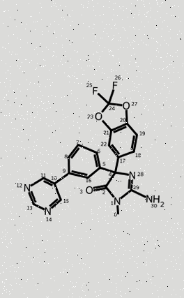 CN1C(=O)C(c2cccc(-c3cncnc3)c2)(c2ccc3c(c2)OC(F)(F)O3)N=C1N